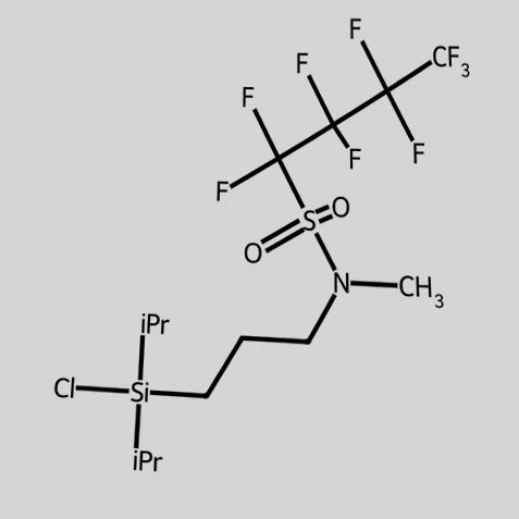 CC(C)[Si](Cl)(CCCN(C)S(=O)(=O)C(F)(F)C(F)(F)C(F)(F)C(F)(F)F)C(C)C